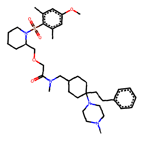 COc1cc(C)c(S(=O)(=O)N2CCCCC2COCC(=O)N(C)CC2CCC(CCc3ccccc3)(N3CCN(C)CC3)CC2)c(C)c1